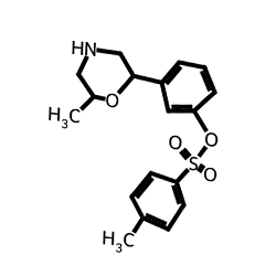 Cc1ccc(S(=O)(=O)Oc2cccc(C3CNCC(C)O3)c2)cc1